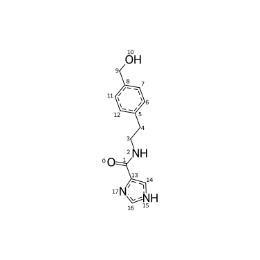 O=C(NCCc1ccc(CO)cc1)c1c[nH]cn1